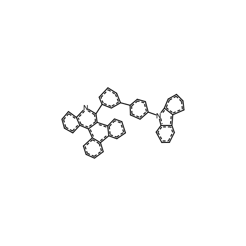 c1cc(-c2ccc(-n3c4ccccc4c4ccccc43)cc2)cc(-c2nc3ccccc3c3c4ccccc4c4ccccc4c23)c1